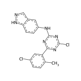 Cc1ccc(Cl)cc1-c1nc(Cl)nc(Nc2ccc3[nH]ncc3c2)n1